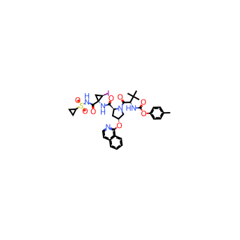 Cc1ccc(OC(=O)N[C@H](C(=O)N2C[C@H](Oc3nccc4ccccc34)C[C@H]2C(=O)N[C@]2(C(=O)NS(=O)(=O)C3CC3)C[C@H]2I)C(C)(C)C)cc1